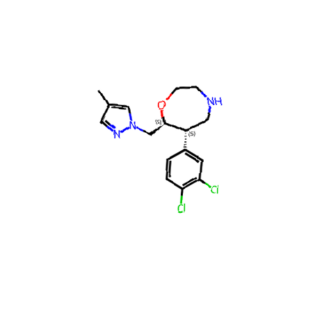 Cc1cnn(C[C@H]2OCCNC[C@@H]2c2ccc(Cl)c(Cl)c2)c1